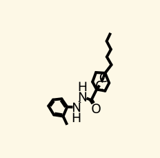 CCCCCC12CCC(C(=O)NNc3ccccc3C)(CC1)CC2